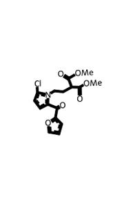 COC(=O)C(CCn1c(Cl)ccc1C(=O)c1ccco1)C(=O)OC